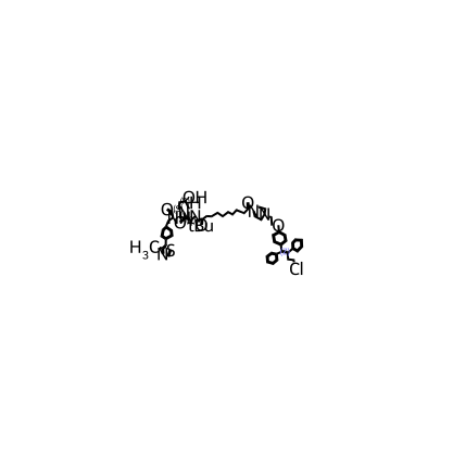 Cc1ncsc1-c1ccc(CNC(=O)[C@@H]2C[C@@H](O)CN2C(=O)[C@@H](NC(=O)CCCCCCCCC(=O)N2CCN(CCOc3ccc(/C(=C(/CCCl)c4ccccc4)c4ccccc4)cc3)CC2)C(C)(C)C)cc1